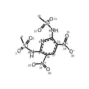 CS(=O)(=O)Nc1nc(NS(C)(=O)=O)c([N+](=O)[O-])cc1[N+](=O)[O-]